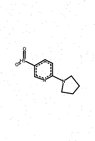 O=[SH](=O)c1ccc(N2CCCC2)nc1